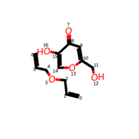 C=CCOCC=C.O=c1cc(CO)occ1O